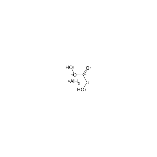 O=C(CO)OO.[AlH3]